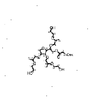 CCCCCCCCCCCC(=O)OCC(OCC(C)OCCO)C1OCC(OCC(C)OCCO)C1OCC(C)OCCO